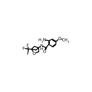 COc1ccc(C(=O)NC23COC(C(F)(F)F)(C2)C3)c(N)c1